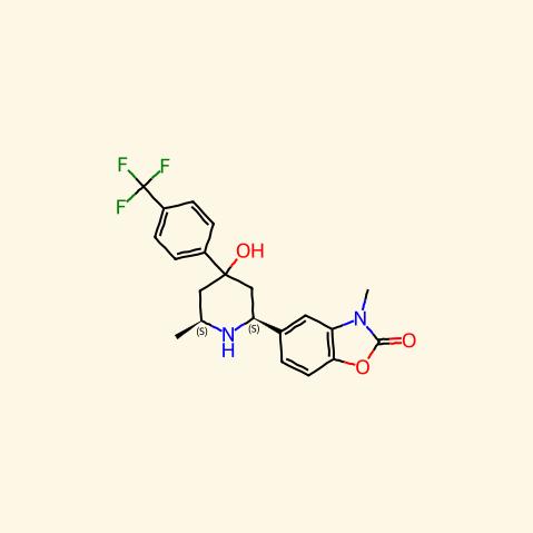 C[C@H]1CC(O)(c2ccc(C(F)(F)F)cc2)C[C@@H](c2ccc3oc(=O)n(C)c3c2)N1